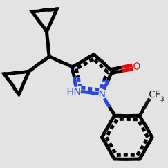 O=c1cc(C(C2CC2)C2CC2)[nH]n1-c1ccccc1C(F)(F)F